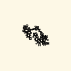 [2H][C@@]1(O)C[C@@H](C(=O)NC(C)c2ccc(-c3scnc3C)cc2)N(C(=O)C(NC(=O)COCCCn2cc(C#Cc3sc4c(c3C)C(c3ccc(Cl)cc3)=N[C@@H](C)c3nnc(C)n3-4)cn2)C(C)(C)C)C1